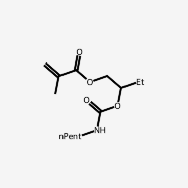 C=C(C)C(=O)OCC(CC)OC(=O)NCCCCC